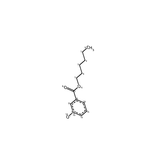 CCCCCCOC(=O)c1ccc[n+]([O-])c1